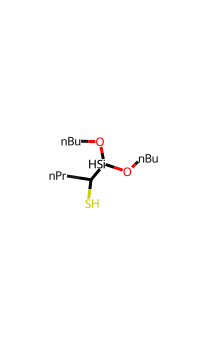 CCCCO[SiH](OCCCC)C(S)CCC